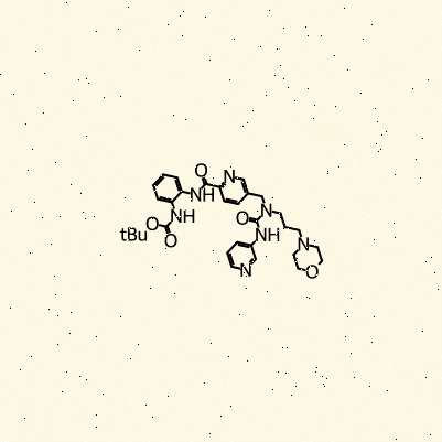 CC(C)(C)OC(=O)Nc1ccccc1NC(=O)c1ccc(CN(CCCN2CCOCC2)C(=O)Nc2cccnc2)cn1